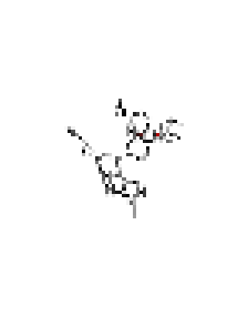 C#CCOc1cc(-c2ccc(N3CC4CC(C3)N4Cc3ccc(OC)nc3)nc2)c2c3cn[nH]c3nn2c1